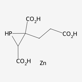 O=C(O)CCC1(C(=O)O)PC1C(=O)O.[Zn]